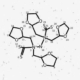 S=C([S-])[N+](CC1OCCO1)(CC1OCCO1)[N][N+](CC1OCCO1)(CC1OCCO1)C(=S)[S-]